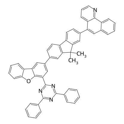 CC1(C)c2cc(-c3cc(-c4nc(-c5ccccc5)nc(-c5ccccc5)n4)c4oc5ccccc5c4c3)ccc2-c2ccc(-c3cc4ccccc4c4ncccc34)cc21